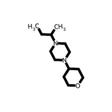 CCC(C)N1CCN(C2CCOCC2)CC1